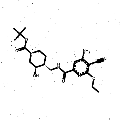 CCOc1nc(C(=O)NC[C@H]2CCN(C(=O)OC(C)(C)C)C[C@@H]2O)cc(N)c1C#N